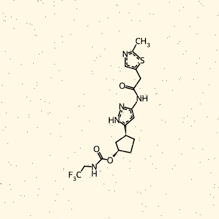 Cc1ncc(CC(=O)Nc2cc([C@H]3CC[C@@H](OC(=O)NCC(F)(F)F)C3)[nH]n2)s1